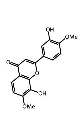 COc1ccc(-c2cc(=O)c3ccc(OC)c(O)c3o2)cc1O